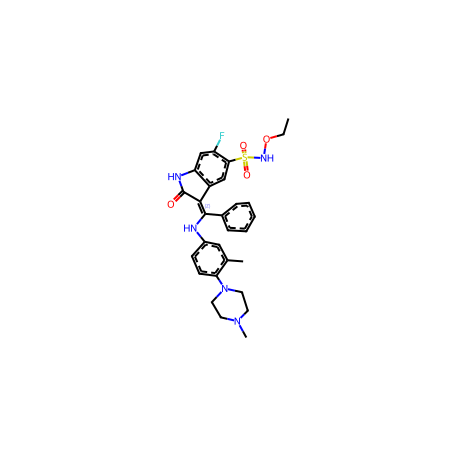 CCONS(=O)(=O)c1cc2c(cc1F)NC(=O)/C2=C(\Nc1ccc(N2CCN(C)CC2)c(C)c1)c1ccccc1